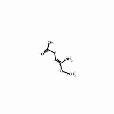 COC(N)=CCC(=O)O